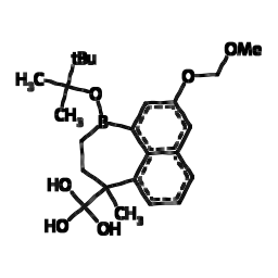 COCOc1cc2c3c(cccc3c1)C(C)(C(O)(O)O)CCB2OC(C)(C)C(C)(C)C